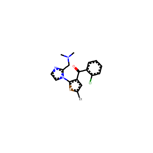 CCc1cc(C(=O)c2ccccc2Cl)c(-n2ccnc2CN(C)C)s1